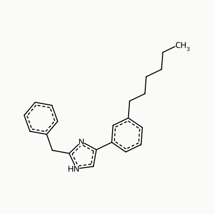 CCCCCCc1cccc(-c2c[nH]c(Cc3ccccc3)n2)c1